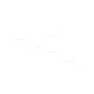 CCO[Si](CCCCN)OCC